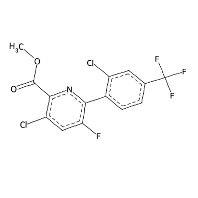 COC(=O)c1nc(-c2ccc(C(F)(F)F)cc2Cl)c(F)cc1Cl